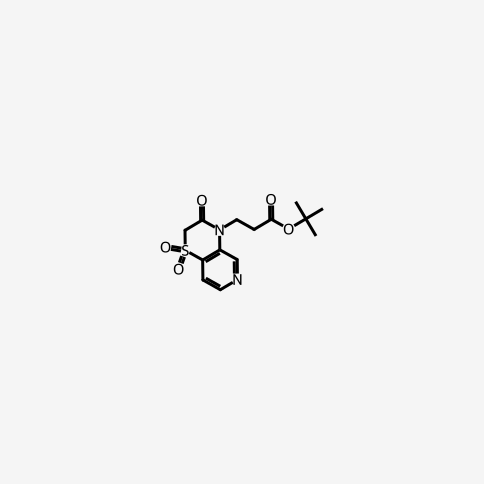 CC(C)(C)OC(=O)CCN1C(=O)CS(=O)(=O)c2ccncc21